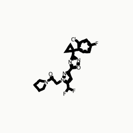 O=C(Cn1nc(-c2nc(C3(c4ccc(F)cc4Cl)CC3)no2)cc1C(F)F)N1CCCC1